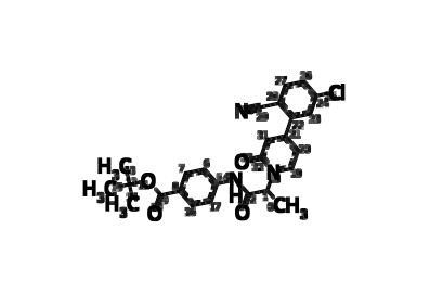 CC(C(=O)Nc1ccc(C(=O)OC(C)(C)C)cc1)n1ccc(-c2cc(Cl)ccc2C#N)cc1=O